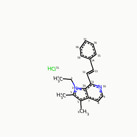 CCn1c(C)c(C)c2ccnc(C=Cc3ccccc3)c21.Cl